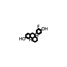 Oc1ccc2c(c1)[C@@H]1CCCC[C@@H]1[C@H](c1ccc(O)c(F)c1)C2